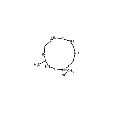 CC1NCCNCNCNCCNCN1.[CH3][Ni]